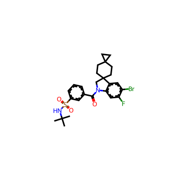 CC(C)(C)NS(=O)(=O)c1cccc(C(=O)N2CC3(CCC4(CC4)CC3)c3cc(Br)c(F)cc32)c1